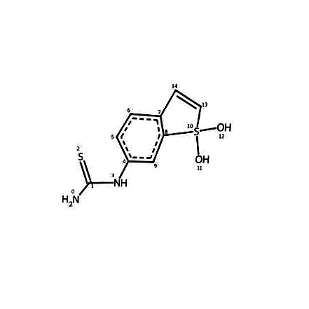 NC(=S)Nc1ccc2c(c1)S(O)(O)C=C2